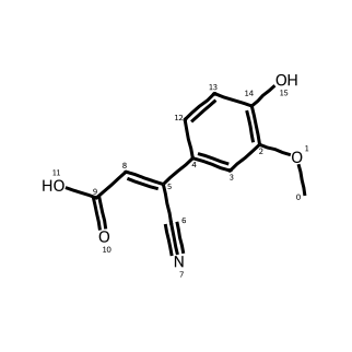 COc1cc(C(C#N)=CC(=O)O)ccc1O